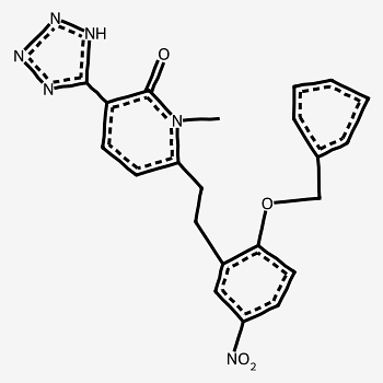 Cn1c(CCc2cc([N+](=O)[O-])ccc2OCc2ccccc2)ccc(-c2nnn[nH]2)c1=O